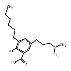 CCCCCCc1cc(CCCC(C)C)cc(C(=O)O)c1O